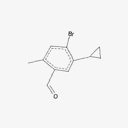 Cc1cc(Br)c(C2CC2)cc1C=O